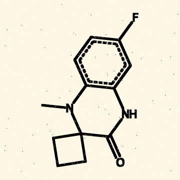 CN1c2ccc(F)cc2NC(=O)C12CCC2